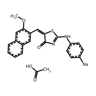 CC(=O)O.COc1cc2ccccc2cc1C=C1SC(Nc2cc[c]([Na])cc2)=NC1=O